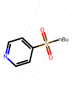 CCCCS(=O)(=O)c1ccncc1